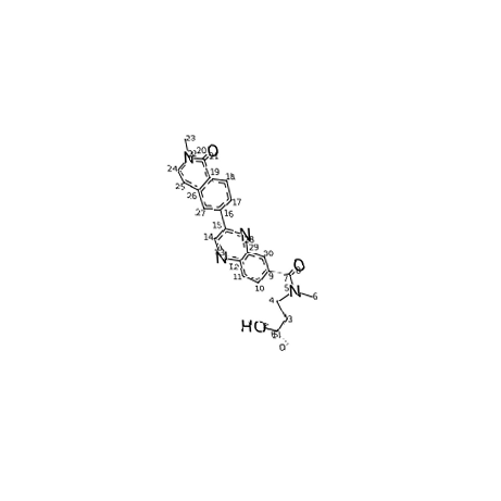 C[C@H](O)CCN(C)C(=O)c1ccc2ncc(-c3ccc4c(=O)n(C)ccc4c3)nc2c1